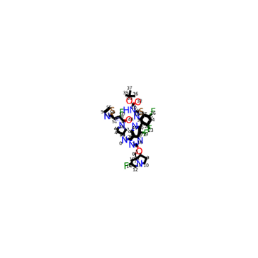 CN(c1nc(OC[C@@]23CCCN2CC(F)C3)nc2c(F)c(-c3c(F)cc(F)c4sc(NC(=O)OC(C)(C)C)nc34)ncc12)[C@@H]1CCN(C(=O)/C(F)=C/c2nccs2)C1